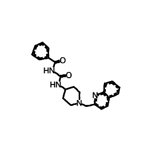 O=C(NC(=O)c1ccccc1)NC1CCN(Cc2ccc3ccccc3n2)CC1